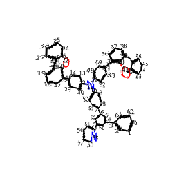 c1ccc(-c2cc(-c3ccc(N(c4ccc(-c5cccc6c5oc5ccccc56)cc4)c4ccc(-c5cccc6c5oc5ccccc56)cc4)cc3)cc(-c3ccccn3)c2)cc1